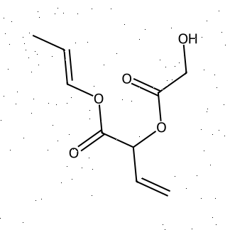 C=CC(OC(=O)CO)C(=O)OC=CC